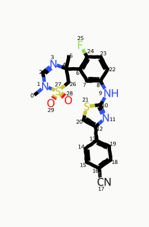 CN1C=NC(C)(c2cc(Nc3nc(-c4ccc(C#N)cc4)cs3)ccc2F)CS1(=O)=O